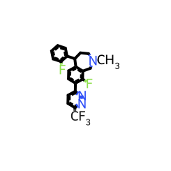 CN1CCC(c2ccccc2F)c2ccc(-c3ccc(C(F)(F)F)nn3)c(F)c2C1